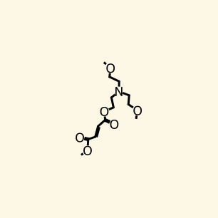 COCCN(CCOC)CCOC(=O)C=CC(=O)OC